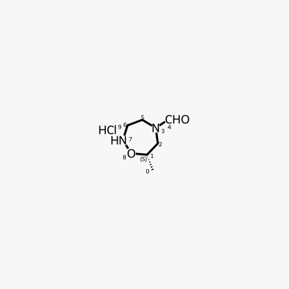 C[C@H]1CN(C=O)CCNO1.Cl